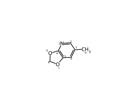 Cc1cnc2c(c1)OCO2